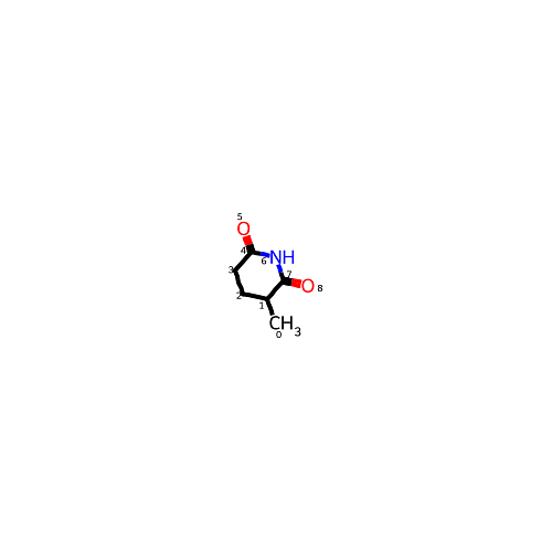 CC1CCC(=O)NC1=O